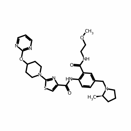 COCCNC(=O)c1cc(CN2CCC[C@H]2C)ccc1NC(=O)c1csc(N2CCC(Oc3ncccn3)CC2)n1